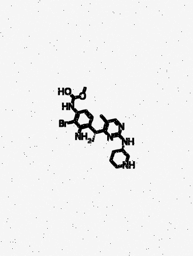 COC(O)Nc1ccc([C@@H](C)c2nc(N[C@H]3CCCNC3)ncc2C)c(N)c1Br